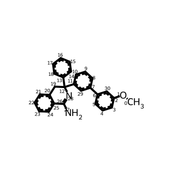 COc1cccc(-c2cccc(C3(c4ccccc4)Cc4ccccc4C(N)=N3)c2)c1